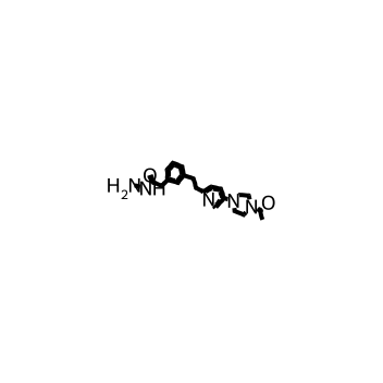 CC(=O)N1CCN(c2ccc(CCc3cccc(CC(=O)NN)c3)nc2)CC1